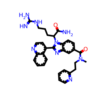 CN(CCc1ccccn1)C(=O)c1ccc2c(c1)nc(-c1ccnc3ccccc13)n2C(CCCNC(=N)N)C(N)=O